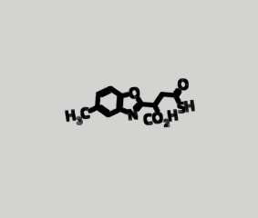 Cc1ccc2oc(C(CC(=O)S)C(=O)O)nc2c1